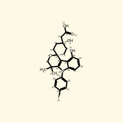 CC1(C)CO[C@]2(CC[C@](O)(CC(=O)O)CC2)c2c1n(-c1ccc(F)cc1)c1cccc(O)c12